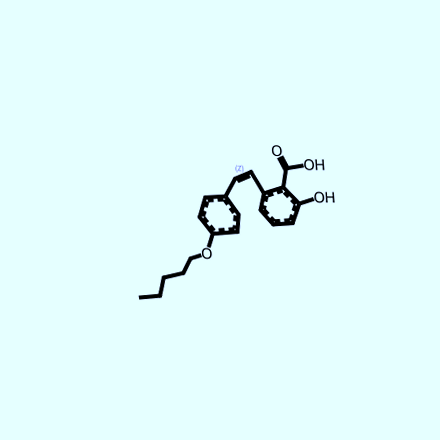 CCCCCOc1ccc(/C=C\c2cccc(O)c2C(=O)O)cc1